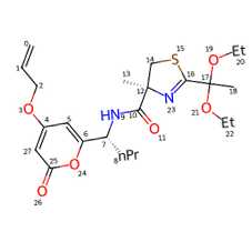 C=CCOc1cc([C@@H](CCC)NC(=O)[C@@]2(C)CSC(C(C)(OCC)OCC)=N2)oc(=O)c1